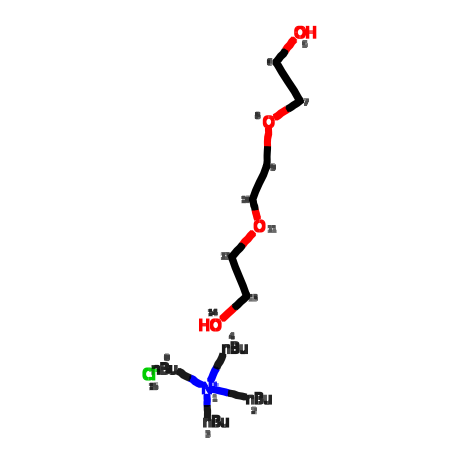 CCCC[N+](CCCC)(CCCC)CCCC.OCCOCCOCCO.[Cl-]